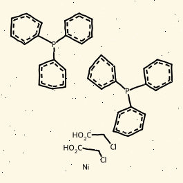 O=C(O)CCl.O=C(O)CCl.[Ni].c1ccc(P(c2ccccc2)c2ccccc2)cc1.c1ccc(P(c2ccccc2)c2ccccc2)cc1